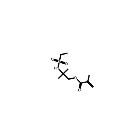 C=C(C)C(=O)OCC(C)(C)NS(=O)(=O)CF